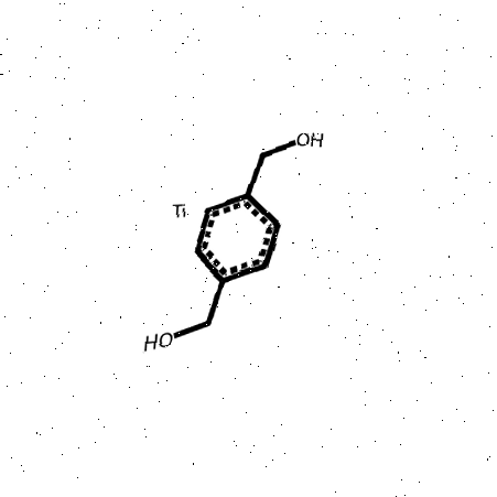 OCc1ccc(CO)cc1.[Ti]